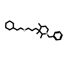 CC1CCN(Cc2ccccc2)C(C)C1(C)CCCOCCC1CCCCC1